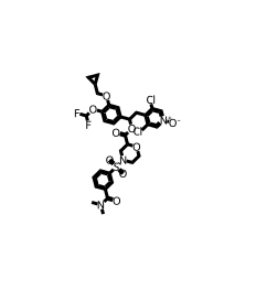 CN(C)C(=O)c1cccc(S(=O)(=O)N2CCOC(C(=O)OC(Cc3c(Cl)c[n+]([O-])cc3Cl)c3ccc(OC(F)F)c(OCC4CC4)c3)C2)c1